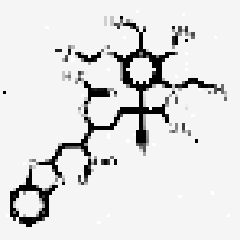 CCOc1cc(C(C#N)(CCC(OC(C)=O)C(CC2Oc3ccccc3O2)[N+](=O)[O-])C(C)C)c(OCC)c(OC)c1OC